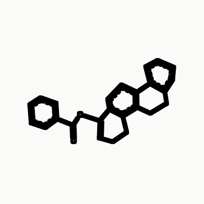 O=C(OC1=CCCc2c1ccc1c2CCc2ccccc2-1)c1ccccc1